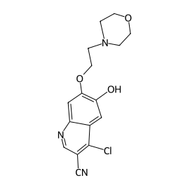 N#Cc1cnc2cc(OCCN3CCOCC3)c(O)cc2c1Cl